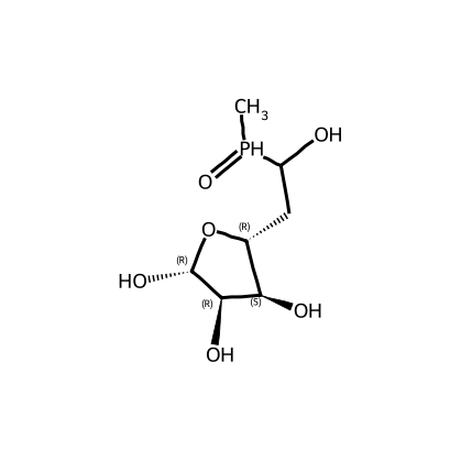 C[PH](=O)C(O)C[C@H]1O[C@@H](O)[C@H](O)[C@@H]1O